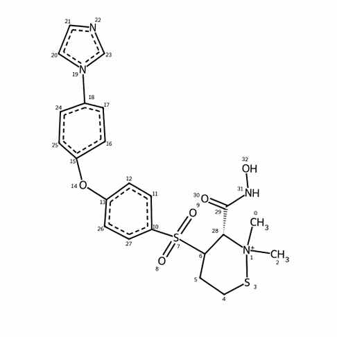 C[N+]1(C)SCCC(S(=O)(=O)c2ccc(Oc3ccc(-n4ccnc4)cc3)cc2)[C@@H]1C(=O)NO